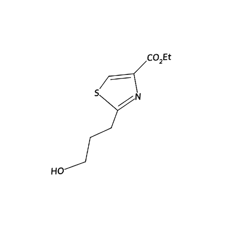 CCOC(=O)c1csc(CCCO)n1